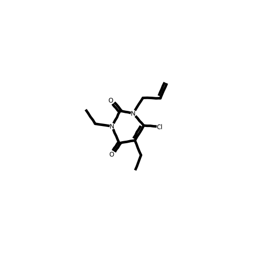 C=CCn1c(Cl)c(CC)c(=O)n(CC)c1=O